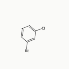 CCc1c[c]cc(Cl)c1